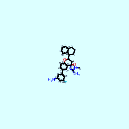 CN1OC2(CC(C3CCCc4ccccc43)Oc3ccc(-c4cc(N)cc(F)c4)cc32)N=C1N